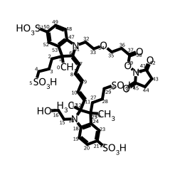 CC1(CCCS(=O)(=O)O)\C(=C/C=C/C=C/C2(C)N(CCO)c3ccc(S(=O)(=O)O)cc3C2(C)CCCS(=O)(=O)O)N(CCOCCC(=O)ON2C(=O)CCC2=O)c2ccc(S(=O)(=O)O)cc21